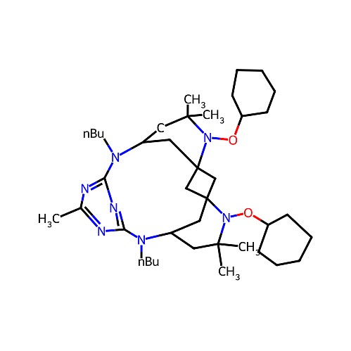 CCCCN1c2nc(C)nc(n2)N(CCCC)C2CC(C)(C)N(OC3CCCCC3)C3(C2)CC2(CC1CC(C)(C)N2OC1CCCCC1)C3